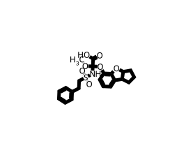 COC(NS(=O)(=O)CCc1ccccc1)(Oc1cccc2c1OC1CCCC21)C(=O)O